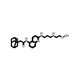 O=C(CC12CC3CC(CC(C3)C1)C2)Nc1cccc2nc(NCCCNCCOO)ccc12